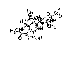 CNC(=O)C1CC(O)CN1C(=O)[C@@H](n1cc(C(C)(C)NC(=O)C2CC2)nn1)C(C)(C)C